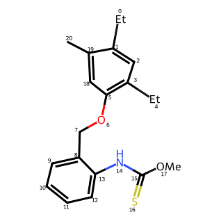 CCc1cc(CC)c(OCc2ccccc2NC(=S)OC)cc1C